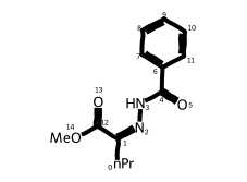 CCCC(=NNC(=O)c1ccccc1)C(=O)OC